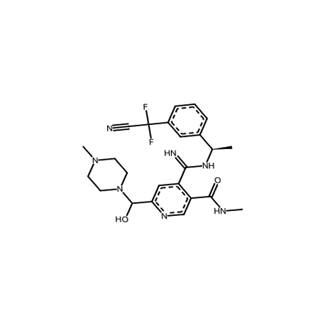 CNC(=O)c1cnc(C(O)N2CCN(C)CC2)cc1C(=N)N[C@H](C)c1cccc(C(F)(F)C#N)c1